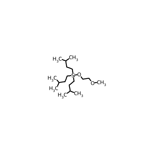 COCCO[Si](CCC(C)C)(CCC(C)C)CCC(C)C